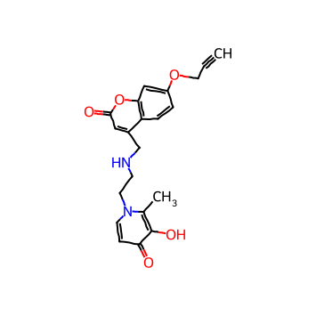 C#CCOc1ccc2c(CNCCn3ccc(=O)c(O)c3C)cc(=O)oc2c1